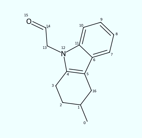 CC1CCc2c(c3ccccc3n2C[C]=O)C1